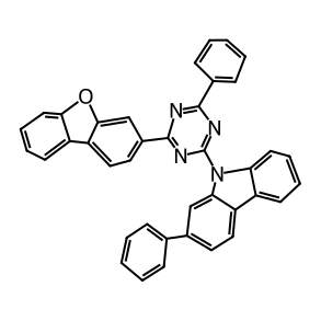 c1ccc(-c2ccc3c4ccccc4n(-c4nc(-c5ccccc5)nc(-c5ccc6c(c5)oc5ccccc56)n4)c3c2)cc1